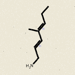 CC/C=C(C)/C=C/CN